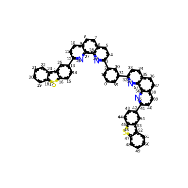 c1cc(-c2ccc3ccc4ccc(-c5ccc6sc7ccccc7c6c5)nc4c3n2)cc(-c2ccc3ccc4ccc(-c5ccc6sc7ccccc7c6c5)nc4c3n2)c1